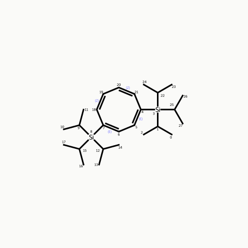 CC(C)[Si](C1=C/C=C([Si](C(C)C)(C(C)C)C(C)C)\C=C/C=C\1)(C(C)C)C(C)C